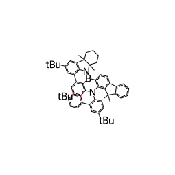 CC(C)(C)c1ccc(N2c3cc(C(C)(C)C)cc4c3B(c3ccc5c(c32)C(C)(C)c2ccccc2-5)N2c3c-4cc(C(C)(C)C)cc3C3(C)CCCCC23C)c(-c2ccccc2)c1